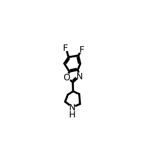 Fc1cc2nc(C3CCNCC3)oc2cc1F